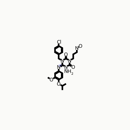 COc1cc(/N=c2\n(N)c(=O)n(CCCN=O)c(=O)n2Cc2ccc(Cl)cc2)ccc1OC(C)C